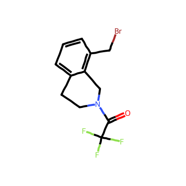 O=C(N1CCc2cccc(CBr)c2C1)C(F)(F)F